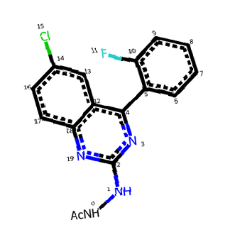 CC(=O)NNc1nc(-c2ccccc2F)c2cc(Cl)ccc2n1